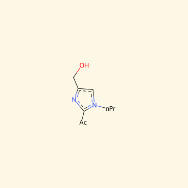 CCCn1cc(CO)nc1C(C)=O